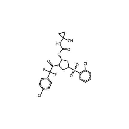 N#CC1(NC(=O)O[C@H]2C[C@@H](S(=O)(=O)c3ccccc3Cl)CN2C(=O)C(F)(F)c2ccc(Cl)cc2)CC1